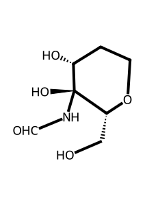 O=CN[C@]1(O)[C@H](O)CCO[C@@H]1CO